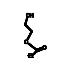 C[CH]C(=O)OCCO